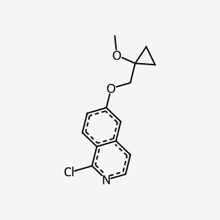 COC1(COc2ccc3c(Cl)nccc3c2)CC1